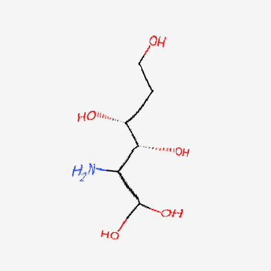 NC(C(O)O)[C@@H](O)[C@H](O)CCO